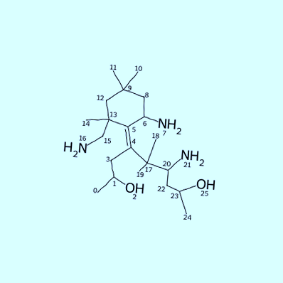 CC(O)CC(=C1C(N)CC(C)(C)CC1(C)CN)C(C)(C)C(N)CC(C)O